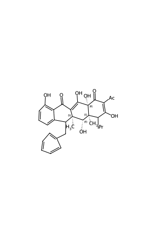 CC(=O)C1=C(O)C(C(C)C)[C@@]2(C)[C@H](O)[C@]3(C)C(=C(O)[C@@]2(O)C1=O)C(=O)c1c(O)cccc1C3Cc1ccccc1